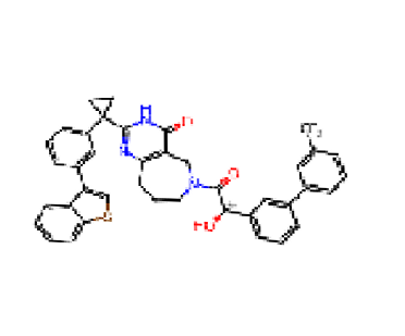 O=C([C@H](O)c1cccc(-c2cccc(C(F)(F)F)c2)c1)N1CCCc2nc(C3(c4cccc(-c5csc6ccccc56)c4)CC3)[nH]c(=O)c2C1